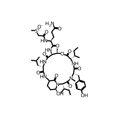 CCC(C)[C@@H]1NC(=O)[C@H](Cc2ccc(O)cc2)N(C)C(=O)[C@H](C(C)CC)N2C(=O)C(CC[C@@H]2O)NC(=O)[C@H](CC(C)C)NC(=O)[C@@H](NC(=O)[C@H](CCC(N)=O)NC(=O)C[S+](C)[O-])[C@@H](C)OC1=O